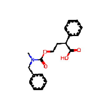 CN(Cc1ccccc1)C(=O)OCCC(C(=O)O)c1ccccc1